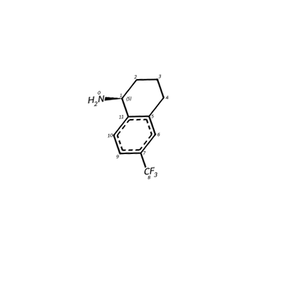 N[C@H]1CCCc2cc(C(F)(F)F)ccc21